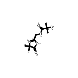 CC(C)(Br)C(=O)OCC1=NC(C)(C)C(=O)O1